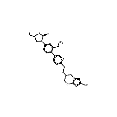 O=C1OC(CO)CN1c1ccc(-c2ccc(COC3COc4nc([N+](=O)[O-])cn4C3)nc2)c(OC(F)(F)F)c1